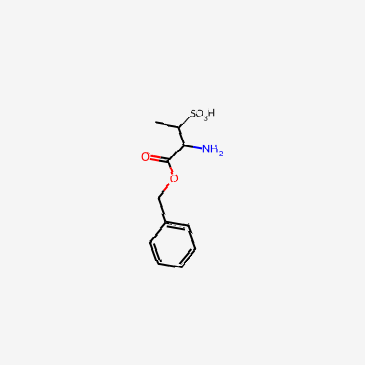 CC(C(N)C(=O)OCc1ccccc1)S(=O)(=O)O